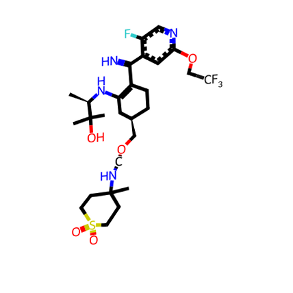 C[C@@H](NC1=C(C(=N)c2cc(OCC(F)(F)F)ncc2F)CC[C@@H](COCNC2(C)CCS(=O)(=O)CC2)C1)C(C)(C)O